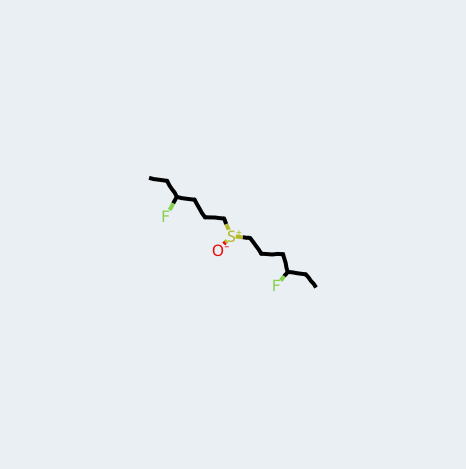 CCC(F)CCC[S+]([O-])CCCC(F)CC